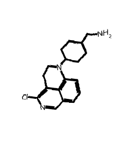 NCC1CCC(N2CCc3c(Cl)ncc4cccc2c34)CC1